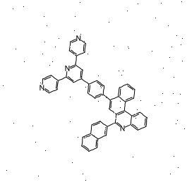 c1ccc2cc(-c3nc4ccccc4c4c3cc(-c3ccc(-c5cc(-c6ccncc6)nc(-c6ccncc6)c5)cc3)c3ccccc34)ccc2c1